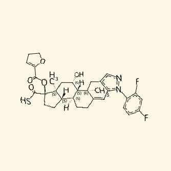 C[C@]12Cc3cnn(-c4ccc(F)cc4F)c3C=C1CC[C@@H]1[C@@H]2[C@@H](O)C[C@@]2(C)[C@H]1CCC2(OC(=O)C1=CCCO1)C(=O)S